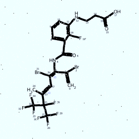 C=C(Br)/C(NC(=O)c1cccc(NCCC(=O)O)c1F)=C(Br)\C=C(/C)C(F)(C(F)(F)F)C(F)(F)F